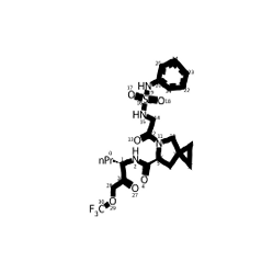 CCC[C@H](NC(=O)[C@@H]1CC2(CC2)CN1C(=O)CNS(=O)(=O)Nc1ccccc1)C(=O)COC(F)(F)F